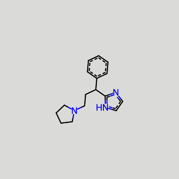 c1ccc(C(CCN2CCCC2)c2ncc[nH]2)cc1